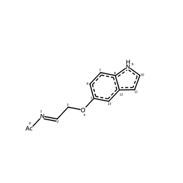 CC(=O)N=CCOc1ccc2[nH]ccc2c1